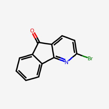 O=C1c2ccccc2-c2nc(Br)ccc21